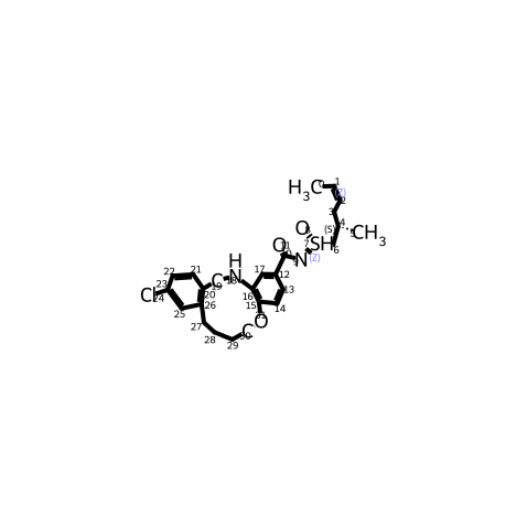 C/C=C\C[C@H](C)C/[SH](=O)=N/C(=O)c1ccc2c(c1)NCc1ccc(Cl)cc1CCCCO2